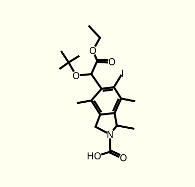 CCOC(=O)C(OC(C)(C)C)c1c(C)c2c(c(C)c1I)C(C)N(C(=O)O)C2